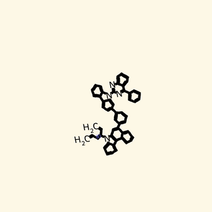 C=C/C=C(\C=C)n1c2ccccc2c2c3ccccc3c(-c3cccc(-c4ccc5c6ccccc6n(-c6nc(-c7ccccc7)c7ccccc7n6)c5c4)c3)cc21